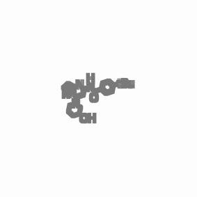 CC(C)(C)c1ccc(C(=O)Nc2cc(N3CCC[C@@H](O)C3)n3nccc3n2)cc1